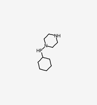 C1CCC(PN2CCNCC2)CC1